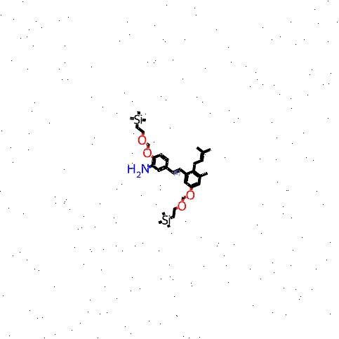 CC(C)=CCc1c(C)cc(OCOCC[Si](C)(C)C)cc1/C=C/c1ccc(OCOCC[Si](C)(C)C)c(N)c1